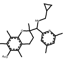 CC(=O)Oc1c(C)c(C)c2c(c1C)CCC(C)(C(NCC1CC1)c1cc(C)cc(C)n1)O2